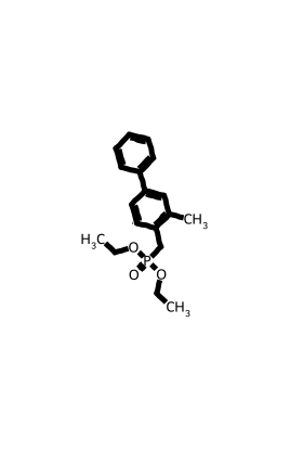 CCOP(=O)(Cc1[c]cc(-c2ccccc2)cc1C)OCC